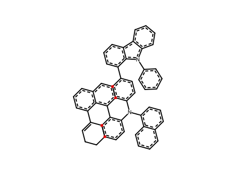 C1=C(c2cccc3cccc(-c4ccccc4N(c4ccc(-c5cccc6c7ccccc7n(-c7ccccc7)c56)cc4)c4cccc5ccccc45)c23)CCCC1